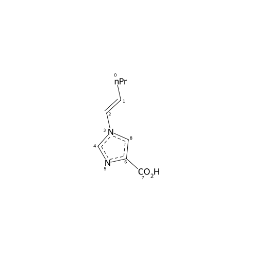 CCCC=Cn1cnc(C(=O)O)c1